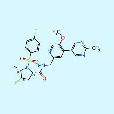 C[C@H]1[C@H](F)C[C@@H](C(=O)NCc2cc(-c3cnc(C(F)(F)F)nc3)c(OC(F)(F)F)cn2)N1S(=O)(=O)c1ccc(F)cc1